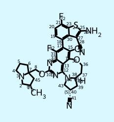 C[C@H]1CN2CCCC2(COc2nc3c4c(c(Cl)c(-c5ccc(F)c6sc(N)c(C#N)c56)c(F)c4n2)OCC[C@H]2C[C@H](C#N)CN32)C1